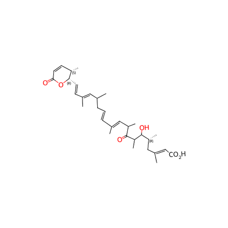 CC(C=C[C@@H]1OC(=O)C=C[C@@H]1C)=CC(C)CC=CC(C)=CC(C)C(=O)C(C)C(O)[C@H](C)CC(C)=CC(=O)O